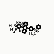 Bc1c(B)c(B)c(-c2c3ccccc3c(-c3ccc(-n4c(C)nc5ccccc54)cc3)c3ccccc23)c(B)c1B